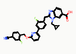 N#Cc1ccc(COc2cccc(-c3ccc(Cc4nc5ccc(C(=O)O)cc5n4CC4CC4)c(F)c3)n2)c(F)c1